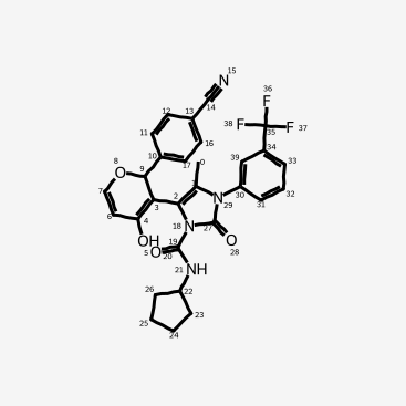 Cc1c(C2=C(O)C=COC2c2ccc(C#N)cc2)n(C(=O)NC2CCCC2)c(=O)n1-c1cccc(C(F)(F)F)c1